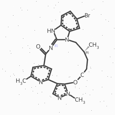 Cc1cc2cc(n1)-c1cnn(C)c1OCCC[C@@H](C)CN1/C(=N/C2=O)Nc2ccc(Br)cc21